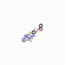 C[C@H](NC(=O)Nc1cc(OCc2noc3ccccc23)c(Cl)cc1Cl)c1ncnn1-c1ncccn1